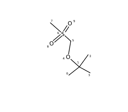 CC(C)(C)OCS(C)(=O)=O